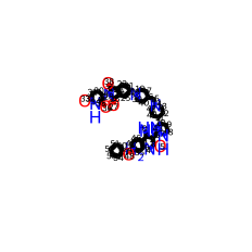 N=C(/C(C(N)=O)=C1/NCC[C@@H](C2CCN(CC3CCN(c4ccc5c(c4)C(=O)N(C4CCC(=O)NC4=O)C5=O)CC3)CC2)N1)c1ccc(Oc2ccccc2)cc1